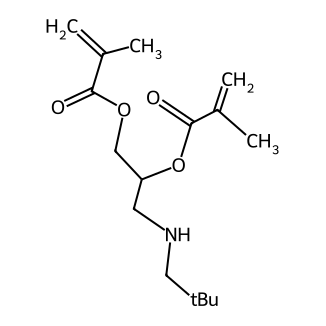 C=C(C)C(=O)OCC(CNCC(C)(C)C)OC(=O)C(=C)C